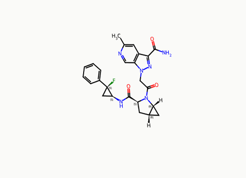 Cc1cc2c(C(N)=O)nn(CC(=O)N3[C@@H]4C[C@@H]4C[C@H]3C(=O)N[C@H]3C[C@]3(F)c3ccccc3)c2cn1